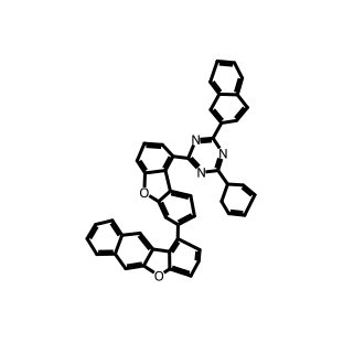 C1=CCC(c2nc(-c3ccc4ccccc4c3)nc(-c3cccc4oc5cc(-c6cccc7oc8cc9ccccc9cc8c67)ccc5c34)n2)C=C1